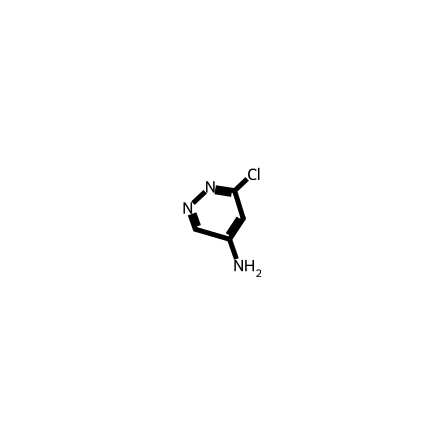 Nc1cnnc(Cl)c1